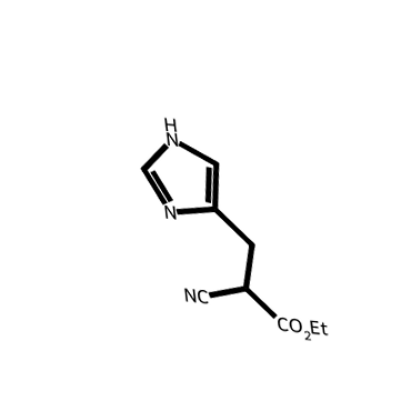 CCOC(=O)C(C#N)Cc1c[nH]cn1